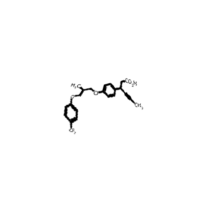 CC#CC(CC(=O)O)c1ccc(OCC(C)COc2ccc(C(F)(F)F)cc2)cc1